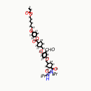 C=CC(=O)OCCCCCCOc1ccc(OC(=O)C2CCC(COc3ccc(OCC4CCC(C(=O)N(C(=O)NC(C)C)C(C)C)CC4)cc3C=O)CC2)cc1